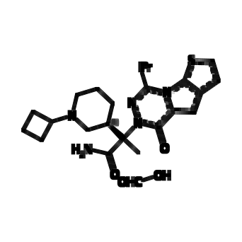 CC(C)c1nn(C(C)(C(N)=O)[C@@H]2CCCN(C3CCC3)C2)c(=O)c2cc3ccsc3n12.O=CO